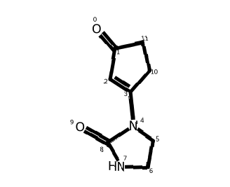 O=C1C=C(N2CCNC2=O)CC1